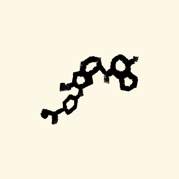 C=CC(=O)N1CCC(Oc2cc3c(Nc4ccc(F)c5ccccc45)ncnc3cc2OC)CC1